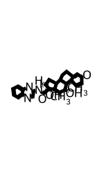 CC12C=CC(=O)C=C1CCC1C2[C@@H](O)CC2(C)C1C[C@@H](I)[C@]2(O)C(=O)Nc1cnc2ccccc2n1